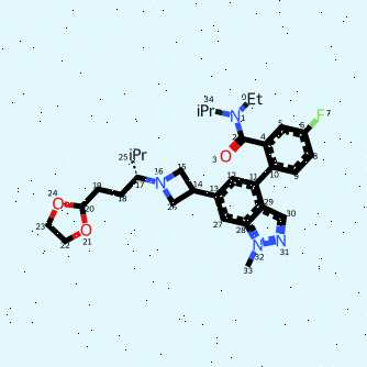 CCN(C(=O)c1cc(F)ccc1-c1cc(C2CN([C@H](CCC3OCCO3)C(C)C)C2)cc2c1cnn2C)C(C)C